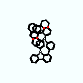 c1ccc(-n2c3ccccc3c3cccc(-c4cccc(N(c5ccccc5-c5cccc6cccc(C7CCCCC7)c56)c5cccc6oc7ccccc7c56)c4)c32)cc1